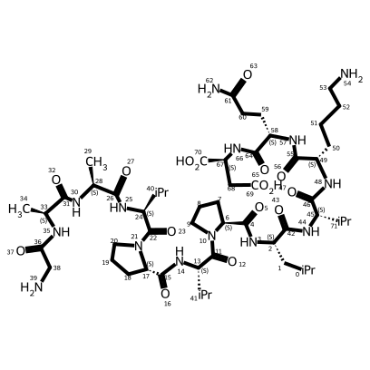 CC(C)C[C@H](NC(=O)[C@@H]1CCCN1C(=O)[C@@H](NC(=O)[C@@H]1CCCN1C(=O)[C@@H](NC(=O)[C@H](C)NC(=O)[C@H](C)NC(=O)CN)C(C)C)C(C)C)C(=O)N[C@H](C(=O)N[C@@H](CCCCN)C(=O)N[C@@H](CCC(N)=O)C(=O)N[C@@H](CC(=O)O)C(=O)O)C(C)C